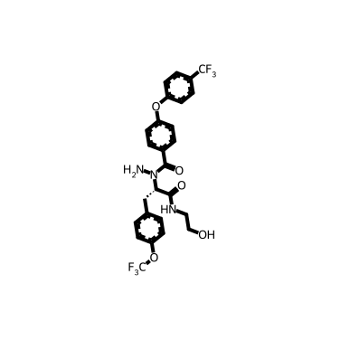 NN(C(=O)c1ccc(Oc2ccc(C(F)(F)F)cc2)cc1)[C@@H](Cc1ccc(OC(F)(F)F)cc1)C(=O)NCCO